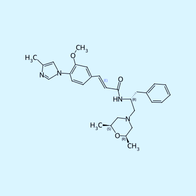 COc1cc(/C=C/C(=O)N[C@H](Cc2ccccc2)CN2C[C@@H](C)O[C@@H](C)C2)ccc1-n1cnc(C)c1